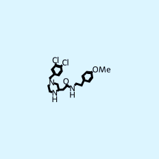 COc1ccc(CCNC(=O)CC2CN(Cc3ccc(Cl)c(Cl)c3)CCN2)cc1